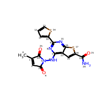 CC1=CC(=O)N(Nc2nc(-c3cccs3)nc3sc(C(N)=O)cc23)C1=O